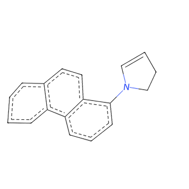 C1=CN(c2cccc3c2ccc2ccccc23)CC1